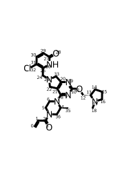 C=CC(=O)N1CCN(c2nc(OC[C@@H]3CCCN3C)nc3c2CN(Cc2[nH]c(=O)ccc2Cl)C3)[C@@H](C)C1